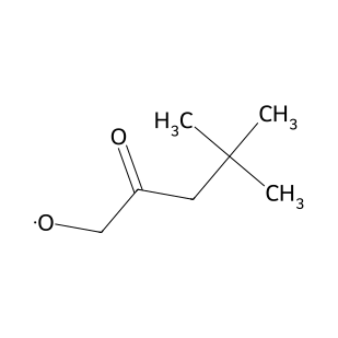 CC(C)(C)CC(=O)C[O]